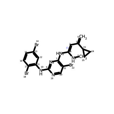 C=C(/C=C(\NC)Nc1nc(Nc2cc(Br)ccc2Br)ncc1Br)C1CC1